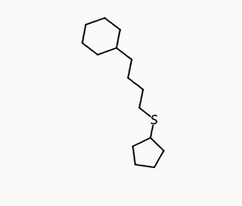 C1CCC(CCCCSC2CCCC2)CC1